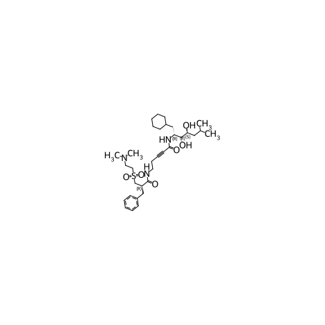 CC(C)C[C@H](O)[C@H](O)[C@@H](CC1CCCCC1)NC(=O)C#CCCNC(=O)[C@@H](Cc1ccccc1)CS(=O)(=O)CCN(C)C